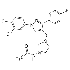 CC(=O)N[C@H]1CCN(Cc2cn(-c3ccc(Cl)c(Cl)c3)nc2-c2ccc(F)cc2)C1